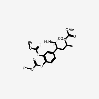 COC(=O)OC(C)CC(c1ccc(OC(=O)OC(C)C)c(OC(=O)OC(C)C)c1)[C@H](N)C(=O)O